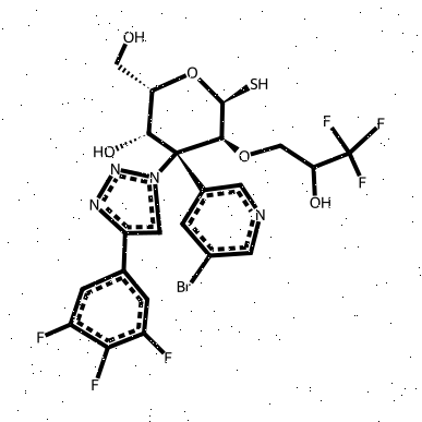 OC[C@@H]1O[C@@H](S)[C@@H](OCC(O)C(F)(F)F)[C@](c2cncc(Br)c2)(n2cc(-c3cc(F)c(F)c(F)c3)nn2)[C@@H]1O